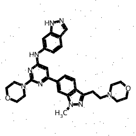 Cn1nc(CCN2CCOCC2)c2ccc(-c3cc(Nc4ccc5cn[nH]c5c4)nc(N4CCOCC4)n3)cc21